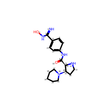 N=C(NO)c1ccc(NC(=O)[C@H]2NCC[C@H]2N2CCCCC2)cc1